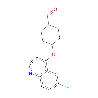 O=CC1CCC(Oc2ccnc3ccc(F)cc23)CC1